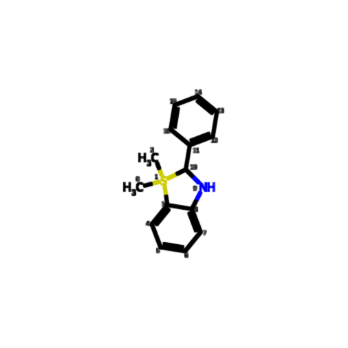 CS1(C)c2ccccc2NC1c1ccccc1